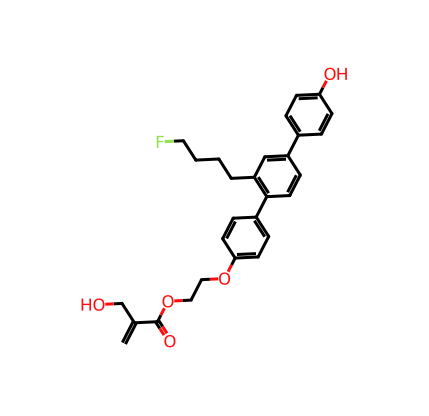 C=C(CO)C(=O)OCCOc1ccc(-c2ccc(-c3ccc(O)cc3)cc2CCCCF)cc1